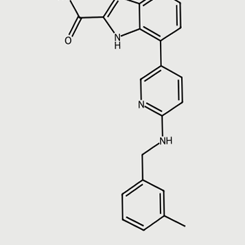 Cc1cccc(CNc2ccc(-c3cccc4cc(C(=O)O)[nH]c34)cn2)c1